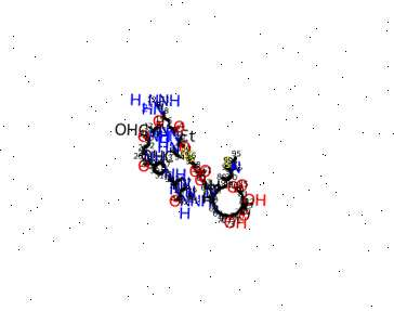 CC[C@H](NC(=O)[C@H](CCCNC(=N)N)NC(=O)[C@H](CC=O)NC(=O)CC[C@@H](C)NC(=O)c1ccc(NCc2cnc3nc(N)[nH]c(=O)c3n2)cc1)C(=O)NC(C=O)CSSCCOC(=O)OCCN1[C@@H]2CCC[C@H](C)[C@H](O)[C@@H](C)C(=O)C(C)(C)[C@@H](O)CC(=O)O[C@H](/C(C)=C/c3csc(C)n3)C[C@@H]21